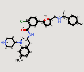 Cc1ccc([C@@H](C)NCc2ccc(-c3ccc(Cl)c(C(=O)N[C@@H](CNC4CCNCC4)Cc4ccc(C#N)cc4)c3)o2)cc1